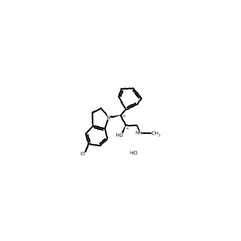 CNC[C@@H](O)[C@H](c1ccccc1)N1CCc2cc(Cl)ccc21.Cl